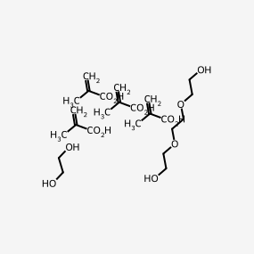 C=C(C)C(=O)O.C=C(C)C(=O)O.C=C(C)C(=O)O.C=C(C)C(=O)O.OCCO.OCCOCCOCCO